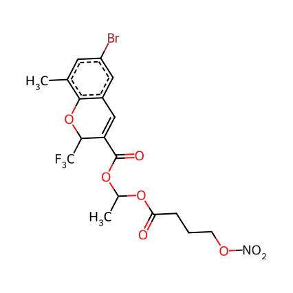 Cc1cc(Br)cc2c1OC(C(F)(F)F)C(C(=O)OC(C)OC(=O)CCCO[N+](=O)[O-])=C2